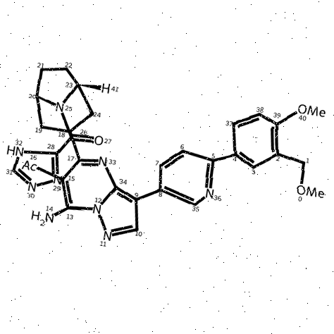 COCc1cc(-c2ccc(-c3cnn4c(N)c(C(C)=O)c(C5CC6CC[C@H](C5)N6C(=O)c5nnc[nH]5)nc34)cn2)ccc1OC